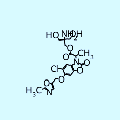 Cc1ncc(COc2cc3oc(=O)n(C(C)C(=O)OCC(N)(CO)CO)c3cc2Cl)o1